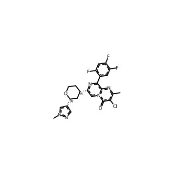 Cc1nc2c(-c3cc(F)c(F)cc3F)nc([C@H]3CCO[C@@H](c4cnn(C)c4)C3)cn2c(=O)c1Cl